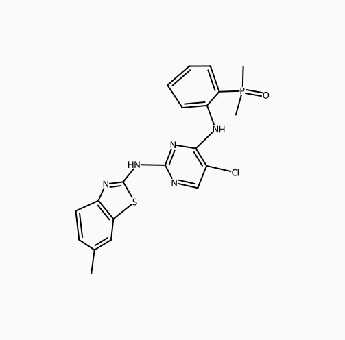 Cc1ccc2nc(Nc3ncc(Cl)c(Nc4ccccc4P(C)(C)=O)n3)sc2c1